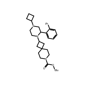 CC(C)c1ccccc1C1CN(C2CCC2)CCN1C1CC2(CCN(C(=O)OC(C)(C)C)CC2)C1